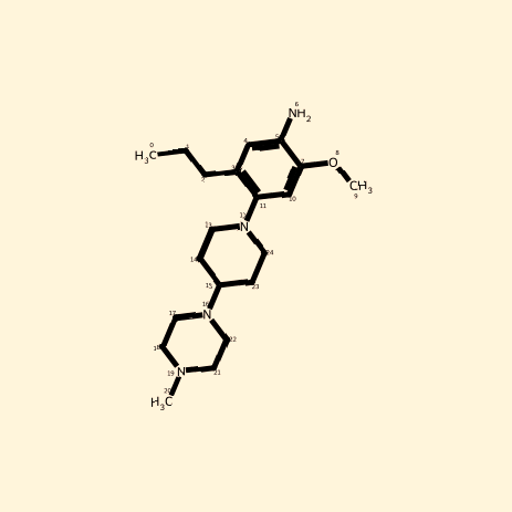 CCCc1cc(N)c(OC)cc1N1CCC(N2CCN(C)CC2)CC1